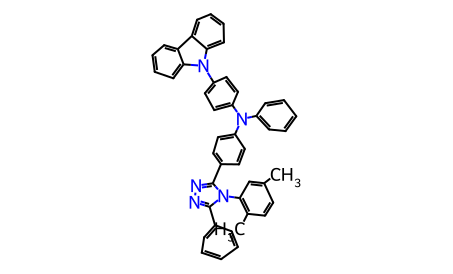 Cc1ccc(C)c(-n2c(-c3ccccc3)nnc2-c2ccc(N(c3ccccc3)c3ccc(-n4c5ccccc5c5ccccc54)cc3)cc2)c1